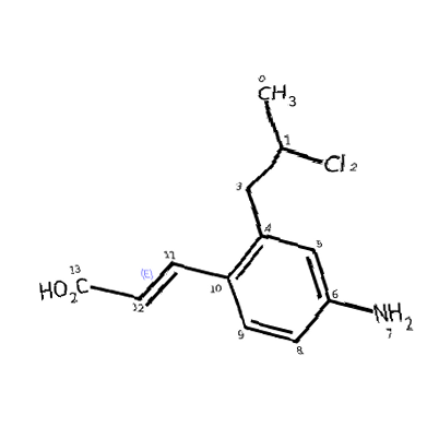 CC(Cl)Cc1cc(N)ccc1/C=C/C(=O)O